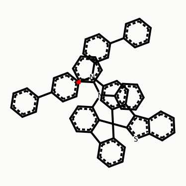 c1ccc(-c2ccc(N(c3cccc(-c4ccccc4)c3)c3ccc4c(c3)C3(c5ccccc5-c5cccc(N(c6ccccc6)c6ccccc6)c53)c3sc5ccccc5c3-4)cc2)cc1